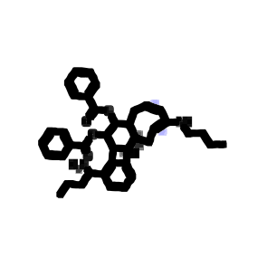 CCCCNC1=C\C[C@H]2C(C/C=C\1)C(OC(=O)c1ccccc1)C(OC(=O)c1ccccc1)C1c3c(C(N)CCC)cccc3[C@H]12